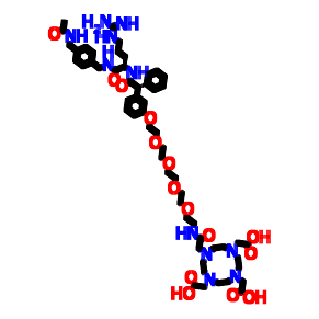 CC(=O)NCc1ccc(CNC(=O)[C@@H](CCCNC(=N)N)NC(=O)[C@H](c2ccccc2)c2cccc(OCCOCCOCCOCCOCCNC(=O)CN3CCN(CC(=O)O)CCN(CC(=O)O)CCN(CC(=O)O)CC3)c2)cc1